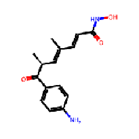 CC(/C=C/C(=O)NO)=C\[C@H](C)C(=O)c1ccc(N)cc1